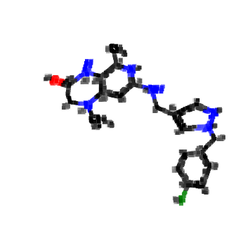 Cc1nc(NCc2cnn(Cc3ccc(F)cc3)c2)cc2c1NC(=O)CN2C